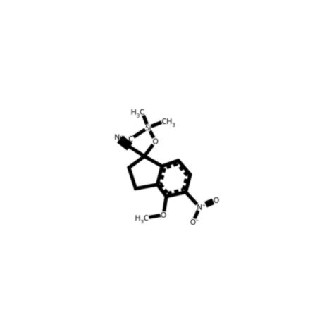 COc1c([N+](=O)[O-])ccc2c1CCC2(C#N)O[Si](C)(C)C